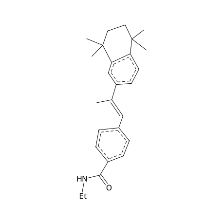 CCNC(=O)c1ccc(/C=C(\C)c2ccc3c(c2)C(C)(C)CCC3(C)C)cc1